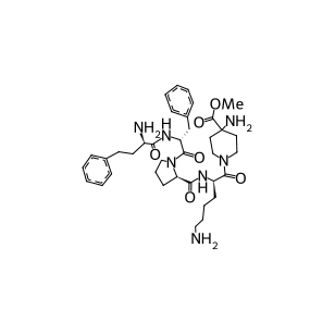 COC(=O)C1(N)CCN(C(=O)[C@@H](CCCCN)NC(=O)[C@H]2CCCN2C(=O)[C@@H](Cc2ccccc2)NC(=O)[C@H](N)CCc2ccccc2)CC1